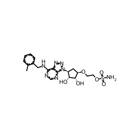 Cc1ccccc1CNc1ncnc2c1nnn2[C@H]1C[C@@H](OCCOS(N)(=O)=O)[C@H](O)[C@@H]1O